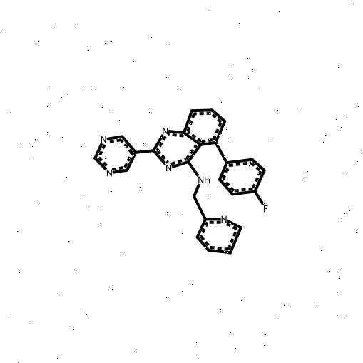 Fc1ccc(-c2cccc3nc(-c4cncnc4)nc(NCc4ccccn4)c23)cc1